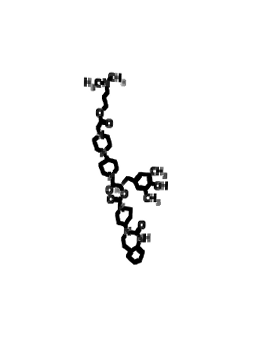 Cc1cc(C[C@@H](OC(=O)N2CCC(N3CCc4ccccc4NC3=O)CC2)C(=O)N2CCC(N3CCN(CC(=O)OCCCN(C)C)CC3)CC2)cc(C)c1O